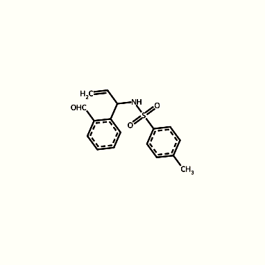 C=CC(NS(=O)(=O)c1ccc(C)cc1)c1ccccc1C=O